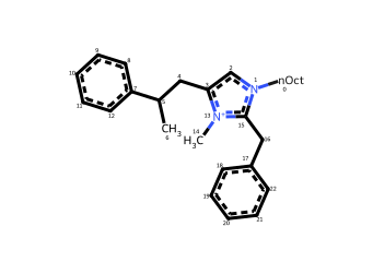 CCCCCCCCn1cc(CC(C)c2ccccc2)[n+](C)c1Cc1ccccc1